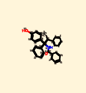 O=CC(c1ccccc1)C(NC(=O)c1ccccc1)(c1ccccc1)c1ccc(O)cc1